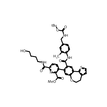 COC(=O)c1nc(C(=O)NCCCCO)ccc1-c1cc2c(cc1C(=O)Nc1ccc(CNC(=O)OC(C)(C)C)cc1C)-c1sccc1CCO2